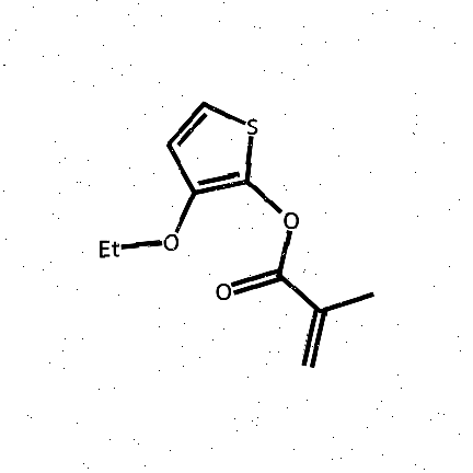 C=C(C)C(=O)Oc1sccc1OCC